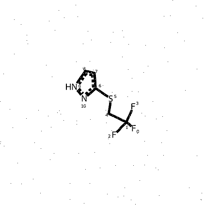 FC(F)(F)CSc1cc[nH]n1